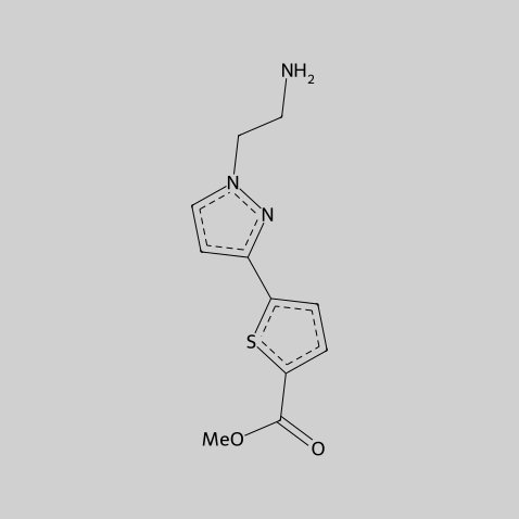 COC(=O)c1ccc(-c2ccn(CCN)n2)s1